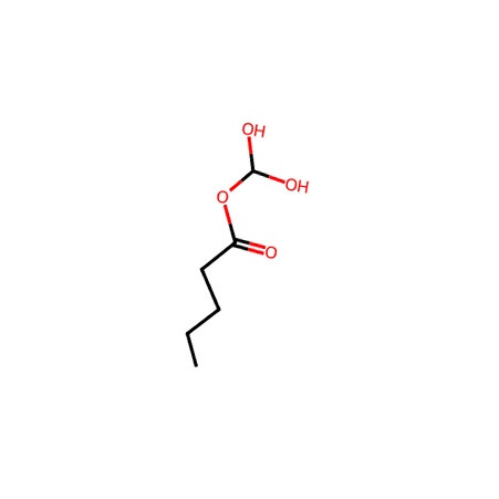 CCCCC(=O)OC(O)O